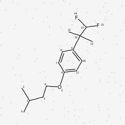 CC(C)CCOc1ccc(C(C)(C)C(F)F)cc1